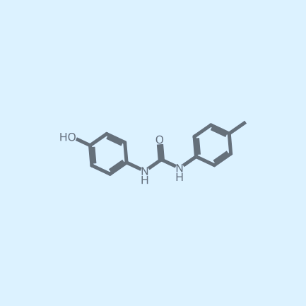 Cc1ccc(NC(=O)Nc2ccc(O)cc2)cc1